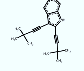 CC(C)(C)C#Cc1[nH]c2ccccc2c1C#CC(C)(C)C